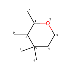 CC1OCCC(C)(C)C1C